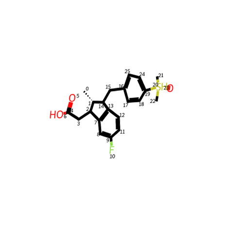 C[C@H]1C(CC(=O)O)c2cc(F)ccc2C1Cc1ccc([SH](C)(C)=O)cc1